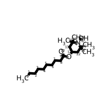 CCCCCCCCCC(=O)OC1CC(C)(C)N(O)C(C)(C)C1